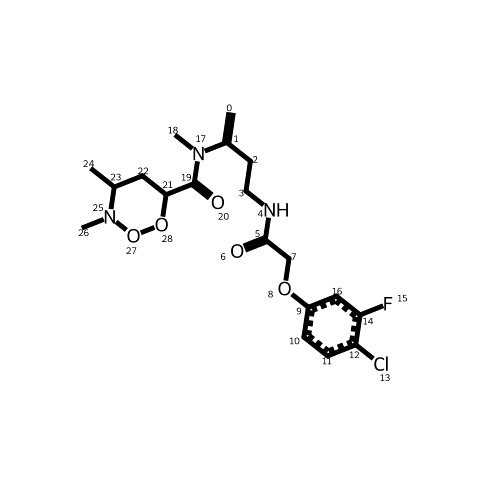 C=C(CCNC(=O)COc1ccc(Cl)c(F)c1)N(C)C(=O)C1CC(C)N(C)OO1